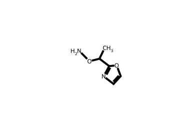 CC(ON)c1ncco1